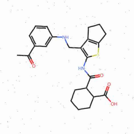 CC(=O)c1cccc(NCc2c(NC(=O)C3CCCCC3C(=O)O)sc3c2CCC3)c1